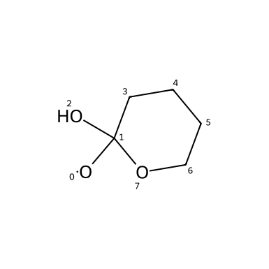 [O]C1(O)CCCCO1